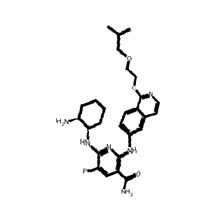 CC(C)COCCOc1nccc2cc(Nc3nc(N[C@@H]4CCCC[C@@H]4N)c(F)cc3C(N)=O)ccc12